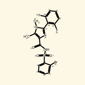 Cc1c(C(=O)NS(=O)(=O)c2ccccc2Br)nc(-c2c(F)cccc2F)n1C